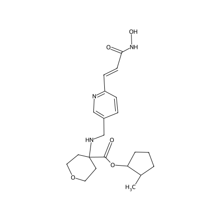 CC1CCCC1OC(=O)C1(NCc2ccc(/C=C/C(=O)NO)nc2)CCOCC1